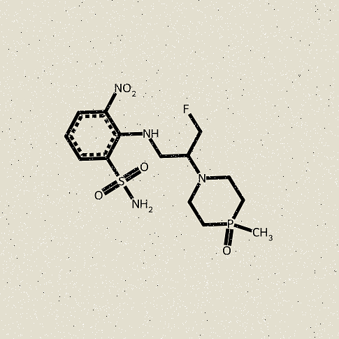 CP1(=O)CCN(C(CF)CNc2c([N+](=O)[O-])cccc2S(N)(=O)=O)CC1